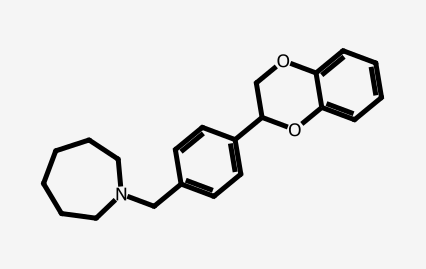 c1ccc2c(c1)OCC(c1ccc(CN3CCCCCC3)cc1)O2